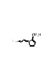 C=CC=S1C=CC=C1C(=O)O